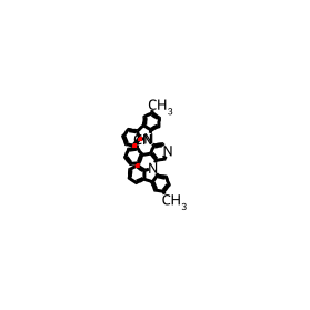 Cc1ccc2c(c1)c1ccccc1n2-c1cncc(-n2c3ccccc3c3cc(C)ccc32)c1-c1ccccc1C#N